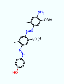 COc1cc(N=Nc2cc(C)c(N=Nc3ccc(O)cc3)cc2S(=O)(=O)O)c(C)cc1N